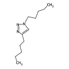 CCCCCc1cn(CCCCC)nn1